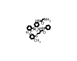 Cc1ccccc1SCCC(N)C(=O)Nc1ccccc1.Cc1ccccc1Sc1ccc(NC(=O)CN)cc1